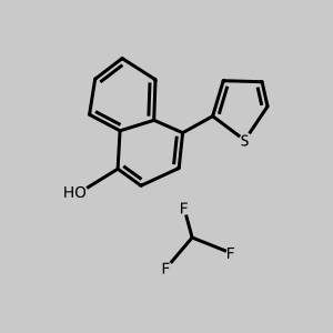 FC(F)F.Oc1ccc(-c2cccs2)c2ccccc12